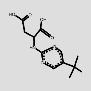 CC(C)(C)c1cnc(NC(CC(=O)O)C(=O)O)nc1